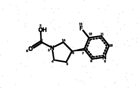 O=C(O)N1CC[C@H](c2cnccc2F)C1